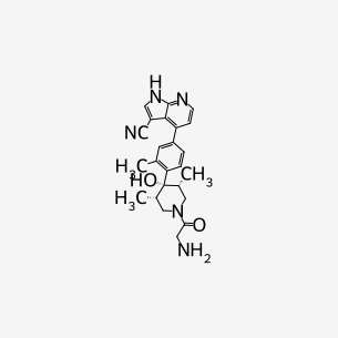 Cc1cc(-c2ccnc3[nH]cc(C#N)c23)ccc1[C@@]1(O)[C@H](C)CN(C(=O)CN)C[C@@H]1C